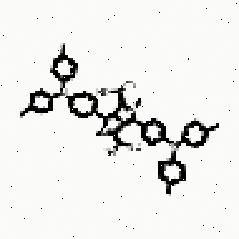 [C-]#[N+]C([N+]#[C-])=c1c2c(-c3ccc(N(c4ccc(C)cc4)c4ccc(C)cc4)cc3)n(C)c(=C(C#N)C#N)c2c(-c2ccc(N(c3ccc(C)cc3)c3ccc(C)cc3)cc2)n1C